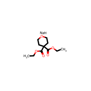 CCOC(=O)C1(C(=O)OCC)CCOCC1.[NaH]